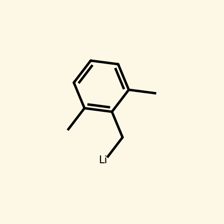 [Li][CH2]c1c(C)cccc1C